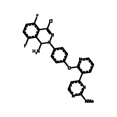 CNc1nccc(-c2cccnc2Oc2ccc(N3N=C(Cl)c4c(F)ccc(F)c4C3N)cc2)n1